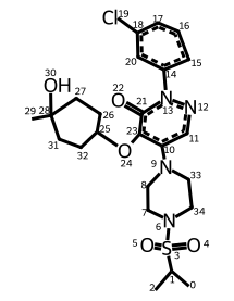 CC(C)S(=O)(=O)N1CCN(c2cnn(-c3cccc(Cl)c3)c(=O)c2OC2CCC(C)(O)CC2)CC1